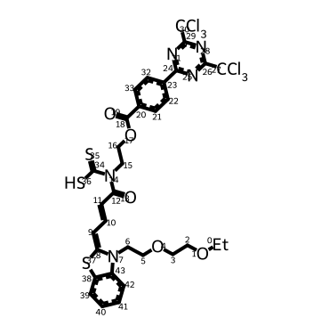 CCOCCOCCN1C(=CC=CC(=O)N(CCOC(=O)c2ccc(-c3nc(C(Cl)(Cl)Cl)nc(C(Cl)(Cl)Cl)n3)cc2)C(=S)S)Sc2ccccc21